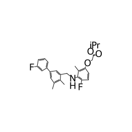 Cc1cc(-c2cccc(F)c2)cc(CNc2c(F)ccc(OCC(=O)OC(C)C)c2C)c1C